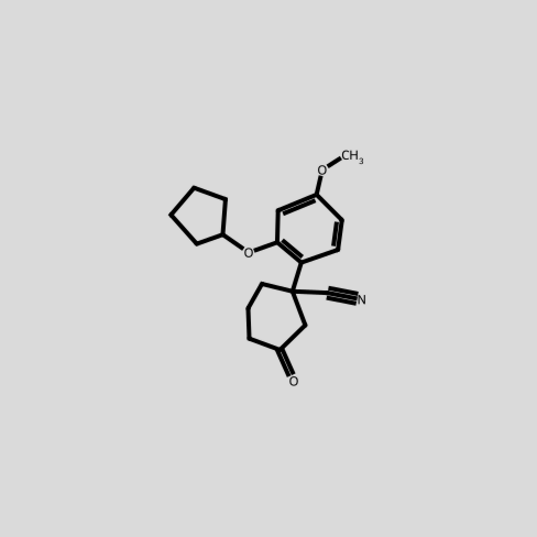 COc1ccc(C2(C#N)CCCC(=O)C2)c(OC2CCCC2)c1